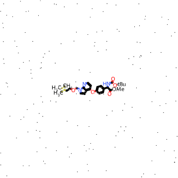 COC(=O)C(NC(=O)OC(C)(C)C)c1ccc(Oc2ccnc3c2ccn3COCCS(C)(C)C)cc1